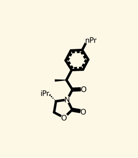 CCCc1ccc([C@H](C)C(=O)N2C(=O)OC[C@@H]2C(C)C)cc1